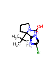 CC(C)(C)C1(c2nc(Br)c[nH]2)CCCN1C(=O)O